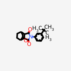 CC(C)(C)c1cccc(N2C(=O)C3C4CCC(C(=O)C4)C3C2=O)c1